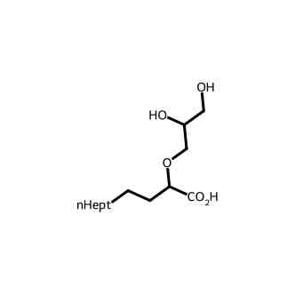 CCCCCCCCCC(OCC(O)CO)C(=O)O